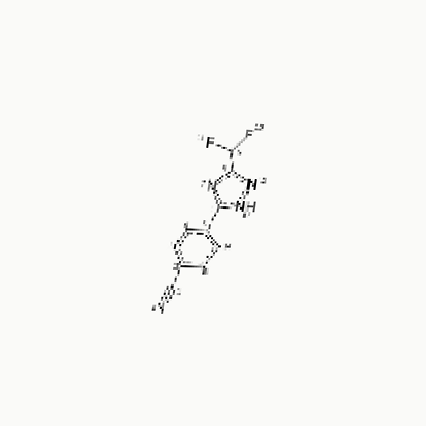 N#Cc1ccc(-c2nc(C(F)F)n[nH]2)cc1